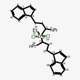 CCC[CH](CCC1C=Cc2ccccc21)[Zr]([Cl])([Cl])([CH2]C)[CH](CCC)CCC1C=Cc2ccccc21